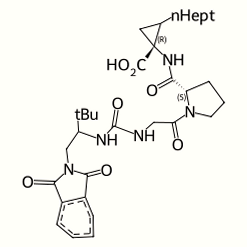 CCCCCCCC1C[C@]1(NC(=O)[C@@H]1CCCN1C(=O)CNC(=O)NC(CN1C(=O)c2ccccc2C1=O)C(C)(C)C)C(=O)O